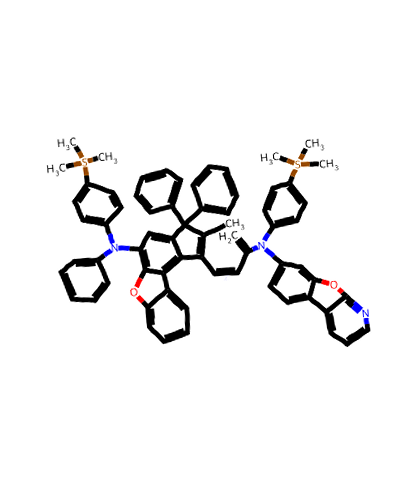 C=C(/C=C\C1=C(C)C(c2ccccc2)(c2ccccc2)c2cc(N(c3ccccc3)c3ccc(S(C)(C)C)cc3)c3oc4ccccc4c3c21)N(c1ccc(S(C)(C)C)cc1)c1ccc2c(c1)oc1ncccc12